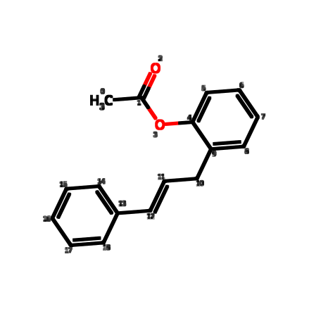 CC(=O)Oc1ccccc1CC=Cc1ccccc1